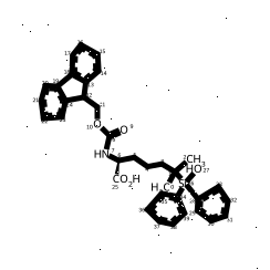 CC(C)(CCC[C@H](NC(=O)OCC1c2ccccc2-c2ccccc21)C(=O)O)[Si](O)(c1ccccc1)c1ccccc1